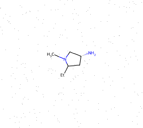 CCC1C[C@@H](N)CN1C